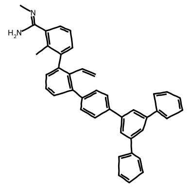 C=Cc1c(-c2ccc(-c3cc(-c4ccccc4)cc(-c4ccccc4)c3)cc2)cccc1-c1cccc(/C(N)=N/C)c1C